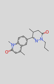 CCCN1N=C(c2ccc3c(c2)c(C)cc(=O)n3C)C(C)CC1=O